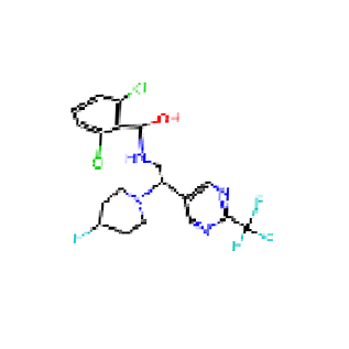 OC(NCC(c1cnc(C(F)(F)F)nc1)N1CCC(F)CC1)c1c(Cl)cccc1Cl